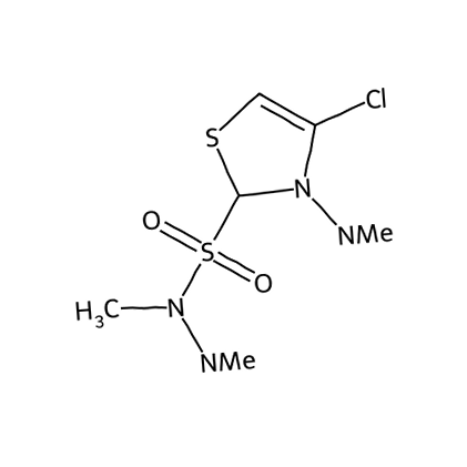 CNN1C(Cl)=CSC1S(=O)(=O)N(C)NC